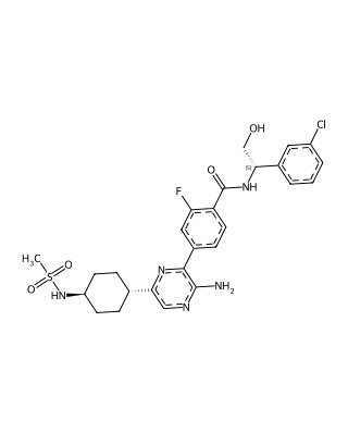 CS(=O)(=O)N[C@H]1CC[C@H](c2cnc(N)c(-c3ccc(C(=O)N[C@H](CO)c4cccc(Cl)c4)c(F)c3)n2)CC1